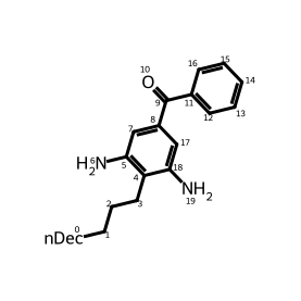 CCCCCCCCCCCCCc1c(N)cc(C(=O)c2ccccc2)cc1N